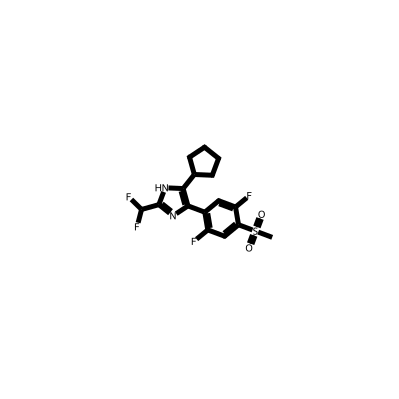 CS(=O)(=O)c1cc(F)c(-c2nc(C(F)F)[nH]c2C2CCCC2)cc1F